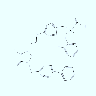 CN1C(=O)N(Cc2ccc(-c3ccccc3)cc2)CC1CCOc1ccc(CC(C)(Oc2ccccc2F)C(=O)O)cc1